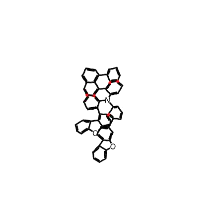 c1ccc(-c2cccc3cccc(-c4ccccc4N(c4cccc(-c5ccc6c(c5)oc5ccccc56)c4)c4ccccc4-c4cccc5oc6ccccc6c45)c23)cc1